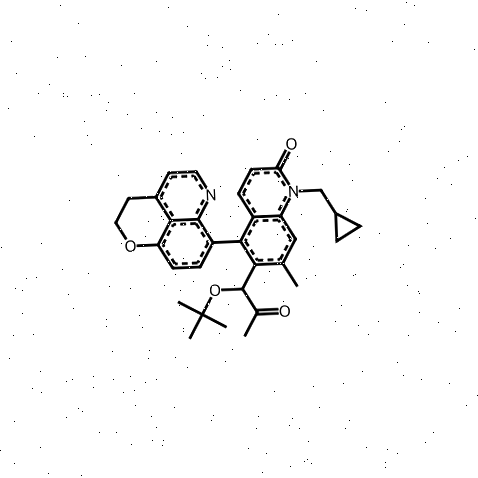 CC(=O)C(OC(C)(C)C)c1c(C)cc2c(ccc(=O)n2CC2CC2)c1-c1ccc2c3c(ccnc13)CCO2